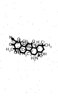 CC1(C)CC(O)[C@]2(C(N)=O)CC[C@]3(C)[C@H](C(=O)C=C4[C@@]3(C)CC[C@H]3C(C)(C)C(=O)C5(C#N)O[C@]5(C)[C@]43C)[C@@H]2C1